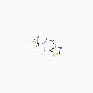 CC1(N2CCc3ncsc3C2)CC1